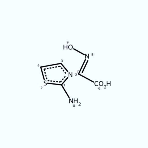 Nc1nccs1.O=C(O)C=NO